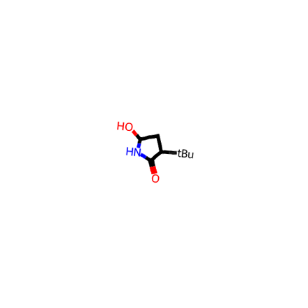 CC(C)(C)C1CC(O)NC1=O